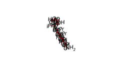 CC(C)CN(CCN(CC(C)O)C(=O)CN(CC(C)O)C(=O)CN(CC(C)O)C(=O)CNCC(C)O)CC(=O)N(CC(=O)N(CC(=O)N(CC(=O)N(CC(=O)N(CC(=O)N(CC(=O)N(CC(=O)N(CC(=O)N(CC(N)=O)CC(C)O)CC(C)O)CC(C)O)CC(C)O)CC(C)C)CC(C)C)CC(C)C)CC(C)C)CC(C)C